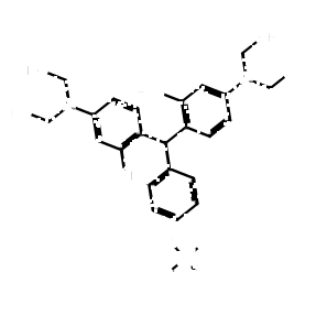 CCN(CC)c1ccc(C(c2ccccc2)c2ccc(N(CC)CC)cc2C)c(C)c1.[O-][Cl+3]([O-])([O-])O